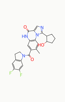 Cc1cc2c(cc1C(=O)N1CCc3cc(F)c(F)cc31)[nH]c(=O)c1cnc(C3CCCC3O)n12